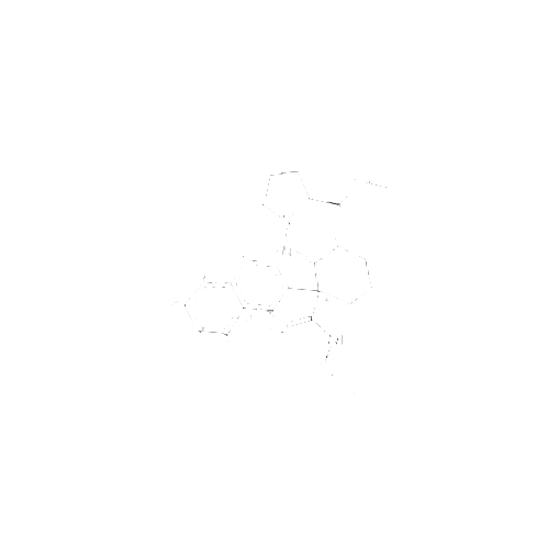 COCC1CCCN1N=C1CCCCC1(C(=O)NSC)c1cnc2ccccc2c1